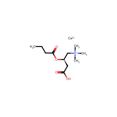 CCCC(=O)O[C@H](CC(=O)O)C[N+](C)(C)C.[Ca+2]